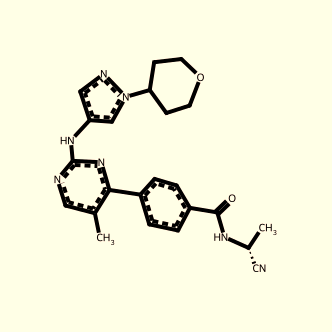 Cc1cnc(Nc2cnn(C3CCOCC3)c2)nc1-c1ccc(C(=O)N[C@H](C)C#N)cc1